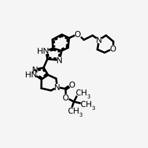 CC(C)(C)OC(=O)N1CCc2[nH]nc(-c3nc4cc(OCCN5CCOCC5)ccc4[nH]3)c2C1